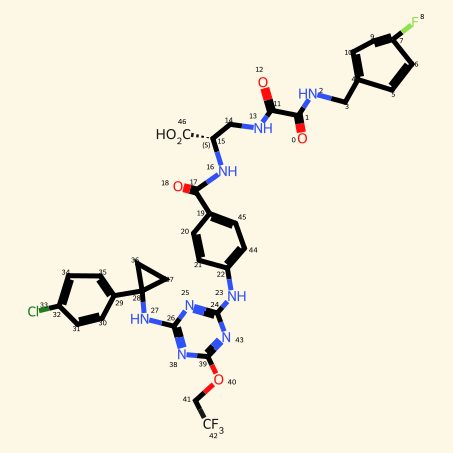 O=C(NCc1ccc(F)cc1)C(=O)NC[C@H](NC(=O)c1ccc(Nc2nc(NC3(c4ccc(Cl)cc4)CC3)nc(OCC(F)(F)F)n2)cc1)C(=O)O